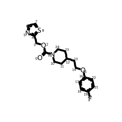 O=C(OCc1nccs1)N1CCC(CCOc2ccc(F)cc2)CC1